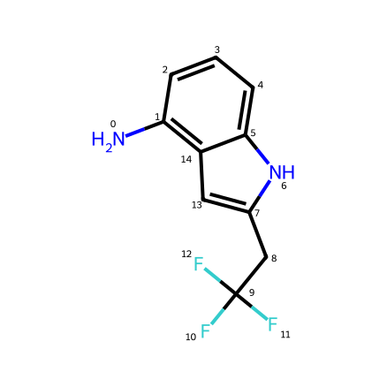 Nc1cccc2[nH]c(CC(F)(F)F)cc12